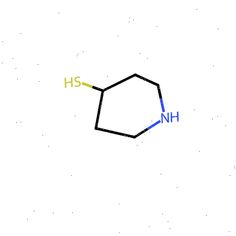 SC1CCNCC1